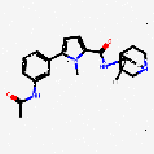 CC(=O)Nc1cccc(-c2ccc(C(=O)N[C@H]3CN4CCC3CC4)n2C)c1